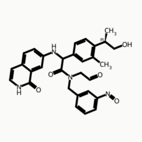 Cc1cc(C(Nc2ccc3cc[nH]c(=O)c3c2)C(=O)N(CC=O)Cc2cccc(N=O)c2)ccc1[C@@H](C)CO